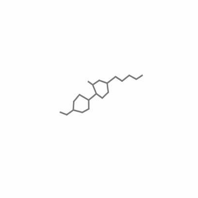 CCCCCC1CCC(C2CCC(CC)CC2)C(C)C1